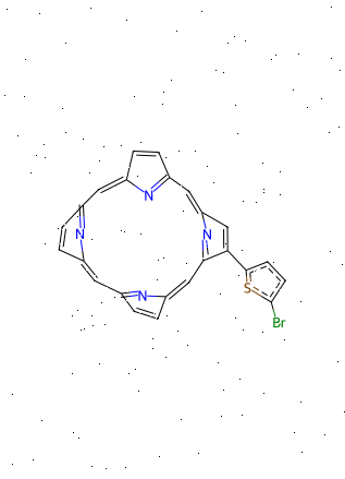 Brc1ccc(C2=CC3=CC4=NC(=CC5=NC(=CC6=NC(=CC2=N3)C=C6)C=C5)C=C4)s1